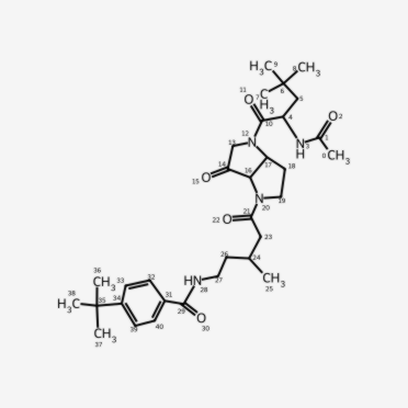 CC(=O)NC(CC(C)(C)C)C(=O)N1CC(=O)C2C1CCN2C(=O)CC(C)CCNC(=O)c1ccc(C(C)(C)C)cc1